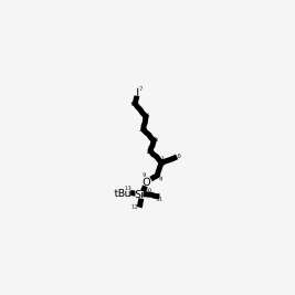 CC(CCCCCI)CO[Si](C)(C)C(C)(C)C